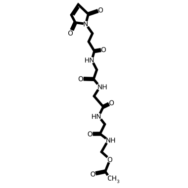 CC(=O)OCNC(=O)CNC(=O)CNC(=O)CNC(=O)CCN1C(=O)C=CC1=O